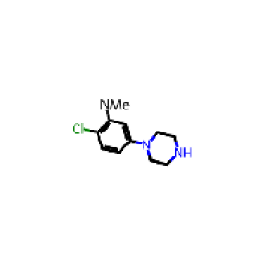 CNc1cc(N2CCNCC2)ccc1Cl